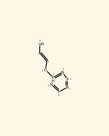 CCCC=CO[PH]1=NP=NP=N1